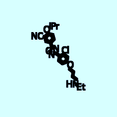 CCNCCCCOc1ccc(-c2noc(-c3ccc(OC(C)C)c(C#N)c3)n2)c(Cl)c1